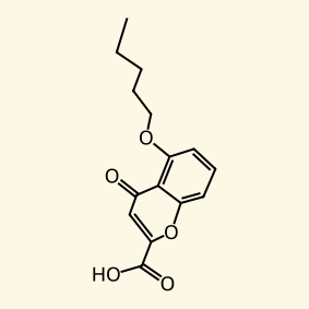 CCCCCOc1cccc2oc(C(=O)O)cc(=O)c12